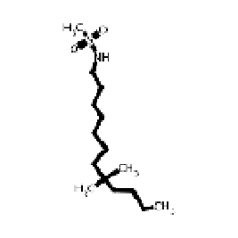 CCCCC(C)(C)CCCCCCCNS(C)(=O)=O